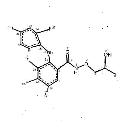 CC(O)CONC(=O)c1cc(F)c(F)c(F)c1Nc1ccc(I)cc1F